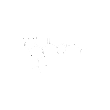 CC(C)Cn1cc(Nc2nc(C(C)(C)C)nc3cn[nH]c23)cn1